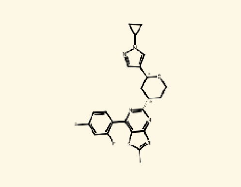 Cc1nc2nc([C@H]3CCO[C@H](c4cnn(C5CC5)c4)C3)nc(-c3ccc(F)cc3F)c2s1